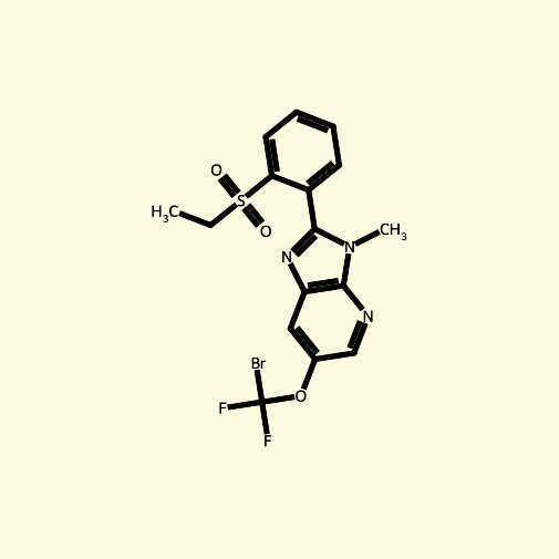 CCS(=O)(=O)c1ccccc1-c1nc2cc(OC(F)(F)Br)cnc2n1C